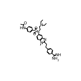 CCN(CC)CCN(c1ccc2c(c1)nc(CCc1ccc(C(=N)N)cc1)n2C)S(=O)(=O)c1ccc(NC(C)=O)cc1